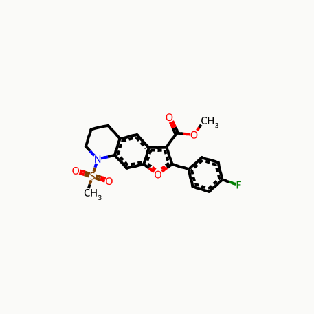 COC(=O)c1c(-c2ccc(F)cc2)oc2cc3c(cc12)CCCN3S(C)(=O)=O